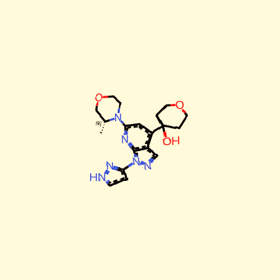 C[C@@H]1COCCN1c1cc(C2(O)CCOCC2)c2cnn(-c3cc[nH]n3)c2n1